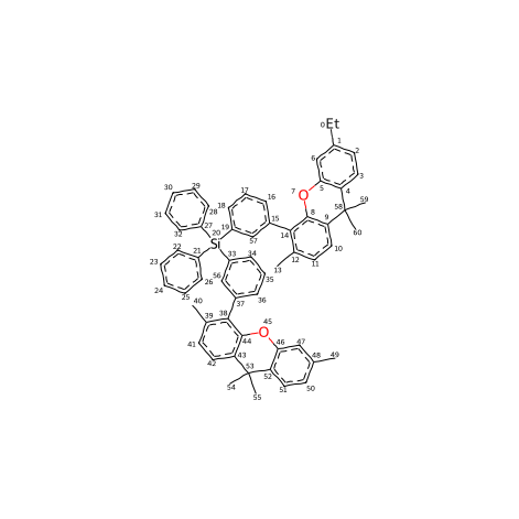 CCc1ccc2c(c1)Oc1c(ccc(C)c1-c1cccc([Si](c3ccccc3)(c3ccccc3)c3cccc(-c4c(C)ccc5c4Oc4cc(C)ccc4C5(C)C)c3)c1)C2(C)C